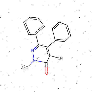 CC(=O)On1nc(-c2ccccc2)c(-c2ccccc2)c(C#N)c1=O